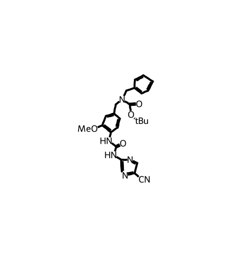 COc1cc(CN(Cc2ccccc2)C(=O)OC(C)(C)C)ccc1NC(=O)Nc1cnc(C#N)cn1